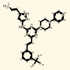 C/C=C/c1cc(Nc2nc(/C=C/c3cccc(C(F)(F)F)c3)nc(N3CCN(c4ccncc4)CC3)n2)n[nH]1